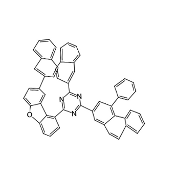 c1ccc(-c2cc(-c3nc(-c4ccc5ccccc5c4)nc(-c4cccc5oc6ccc(-c7ccc8ccccc8c7)cc6c45)n3)cc3ccc4ccccc4c23)cc1